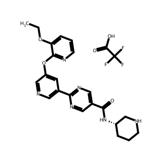 CCOc1cccnc1Oc1cncc(-c2ncc(C(=O)N[C@H]3CCCNC3)cn2)c1.O=C(O)C(F)(F)F